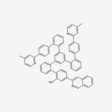 Cc1ccnc(-c2ccc(-c3ccccc3-c3cc(-c4ccccc4-c4ccc(-c5cc(C)ccn5)cc4)cc(-c4ccccc4-c4ccc(-c5cc6ccccc6cn5)cc4O)c3)cc2)c1